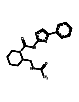 O=C(Nc1ncc(-c2ccccc2)s1)N1CCCCC1CNC(=O)C(F)(F)F